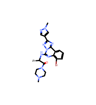 CC(C)C(Nc1nc2c(Br)cccc2c2nc(-c3cnn(C)c3)nn12)C(=O)N1CCN(C)CC1